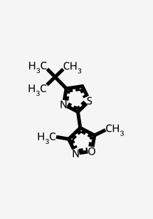 Cc1noc(C)c1-c1nc(C(C)(C)C)cs1